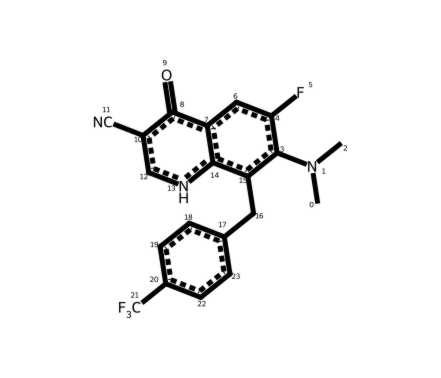 CN(C)c1c(F)cc2c(=O)c(C#N)c[nH]c2c1Cc1ccc(C(F)(F)F)cc1